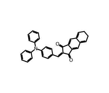 O=C1C(=Cc2ccc(N(c3ccccc3)c3ccccc3)cc2)C(=O)c2cc3c(cc21)=CCCC=3